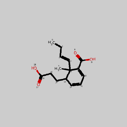 CCC=CC1(C)C(C(=O)O)=CC=CC1CCC(=O)O